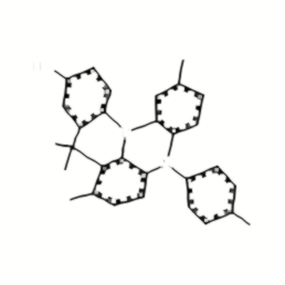 Cc1ccc(N2c3ccc(C)cc3B3c4ccc(O)cc4C(C)(C)c4c(C)ccc2c43)cc1